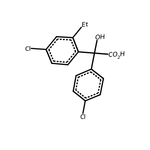 CCc1cc(Cl)ccc1C(O)(C(=O)O)c1ccc(Cl)cc1